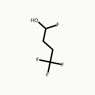 OC(F)CCC(F)(F)F